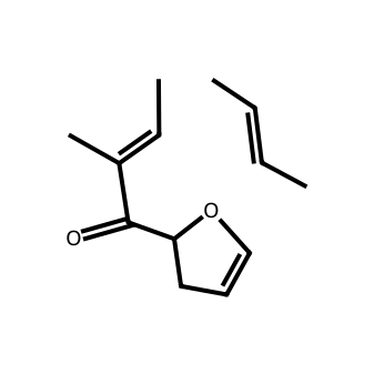 CC=C(C)C(=O)C1CC=CO1.CC=CC